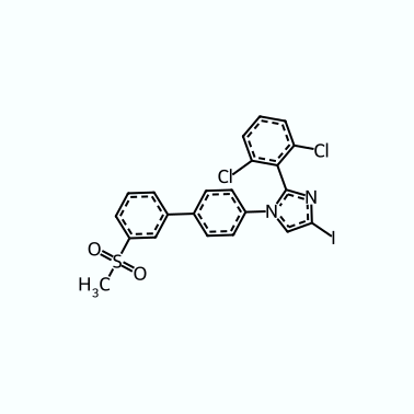 CS(=O)(=O)c1cccc(-c2ccc(-n3cc(I)nc3-c3c(Cl)cccc3Cl)cc2)c1